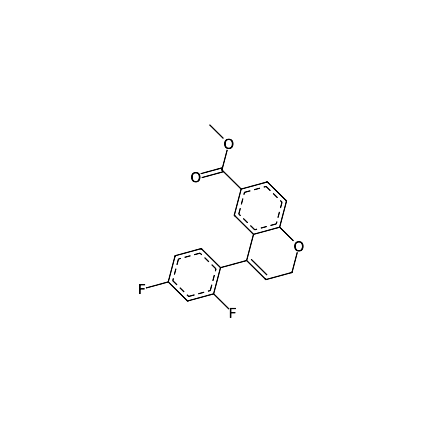 COC(=O)c1ccc2c(c1)C(c1ccc(F)cc1F)=CCO2